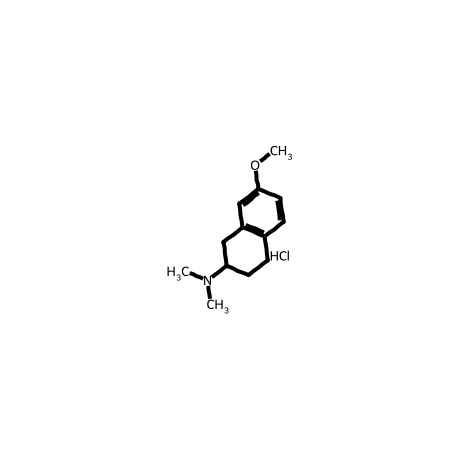 COc1ccc2c(c1)CC(N(C)C)CC2.Cl